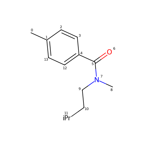 Cc1ccc(C(=O)N(C)CCC(C)C)cc1